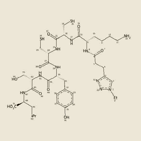 CCn1cc(CCC(=O)N[C@@H](CCCCN)C(=O)N[C@@H](CS)C(=O)N[C@@H](CS)C(=O)N[C@H](Cc2ccc(O)cc2)C(=O)N[C@@H](CO)C(=O)N[C@@H](CC(C)C)C(=O)O)nn1